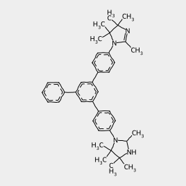 CC1=NC(C)(C)C(C)(C)N1c1ccc(-c2cc(-c3ccccc3)cc(-c3ccc(N4C(C)NC(C)(C)C4(C)C)cc3)c2)cc1